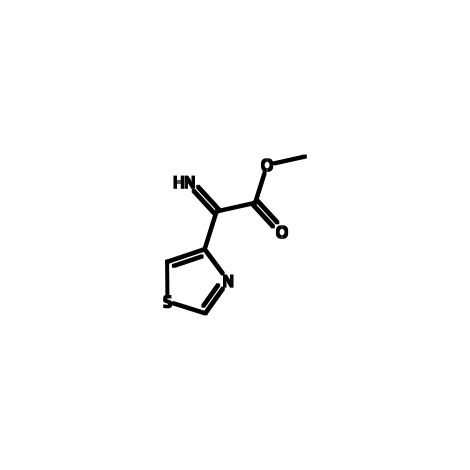 COC(=O)C(=N)c1cscn1